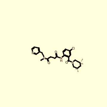 C[C@@H]1C[C@H](C)CN(C(=O)c2cc(Cl)ccc2NC(=O)CCC(=O)N(C)Cc2cccnc2)C1